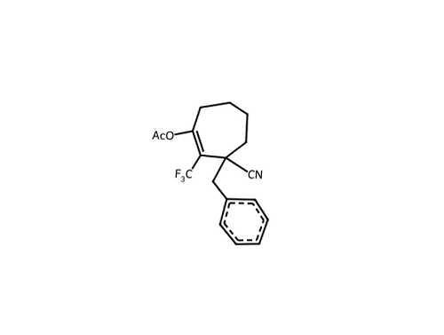 CC(=O)OC1=C(C(F)(F)F)C(C#N)(Cc2ccccc2)CCCC1